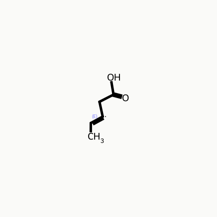 C/C=[C]/CC(=O)O